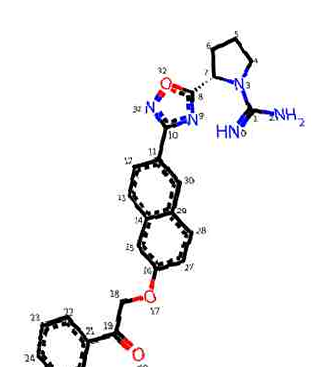 N=C(N)N1CCC[C@H]1c1nc(-c2ccc3cc(OCC(=O)c4ccccc4)ccc3c2)no1